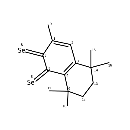 CC1=CC2=C(C(=[Se])C1=[Se])C(C)(C)CCC2(C)C